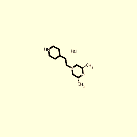 C[C@@H]1CN(CCC2CCNCC2)C[C@H](C)O1.Cl